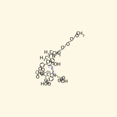 C=C(/C=C(/C=C/C=C1/N(CCCS(=O)(=O)O)c2ccc(S(=O)(=O)O)cc2C1(C)CCCC(=O)ON1C(=O)CCC1=O)c1cc2c(cc1O)N(CCOCCOCCOCCOCCOC)C(C)(C)C=C2C)c1ccccc1